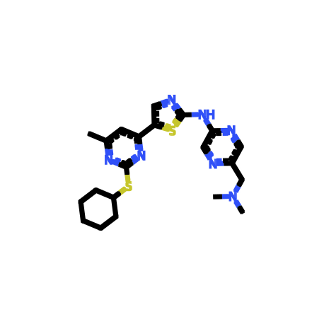 Cc1cc(-c2cnc(Nc3cnc(CN(C)C)cn3)s2)nc(SC2CCCCC2)n1